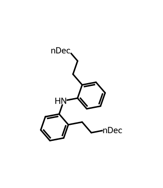 CCCCCCCCCCCCc1ccccc1Nc1ccccc1CCCCCCCCCCCC